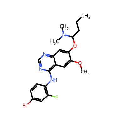 CCCC(Oc1cc2ncnc(Nc3ccc(Br)cc3F)c2cc1OC)N(C)C